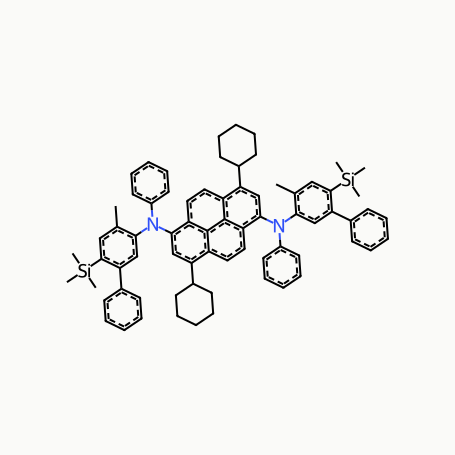 Cc1cc([Si](C)(C)C)c(-c2ccccc2)cc1N(c1ccccc1)c1cc(C2CCCCC2)c2ccc3c(N(c4ccccc4)c4cc(-c5ccccc5)c([Si](C)(C)C)cc4C)cc(C4CCCCC4)c4ccc1c2c43